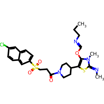 CCC/N=C/Oc1c(C2CCN(C(=O)CCS(=O)(=O)c3ccc4cc(Cl)ccc4c3)CC2)s/c(=N\C)n1C